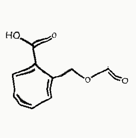 O=[C]OCc1ccccc1C(=O)O